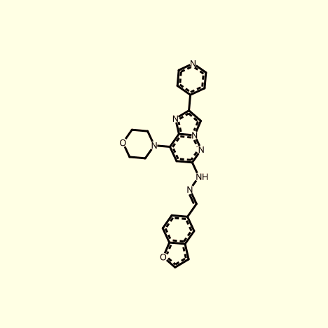 C(=NNc1cc(N2CCOCC2)c2nc(-c3ccncc3)cn2n1)c1ccc2occc2c1